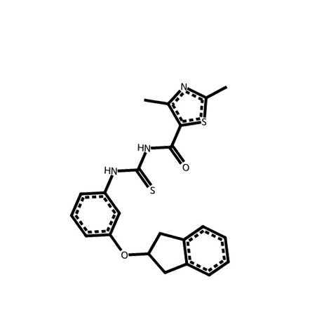 Cc1nc(C)c(C(=O)NC(=S)Nc2cccc(OC3Cc4ccccc4C3)c2)s1